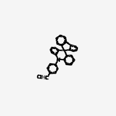 O=Cc1ccc(N2c3ccccc3C3(c4ccccc4-c4ccccc43)c3ccccc32)cc1